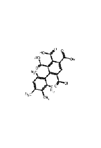 Cc1cc(C)c(-c2c(C(=O)O)cc(C(=O)O)c(C(=O)O)c2C(=O)O)c(C)c1C